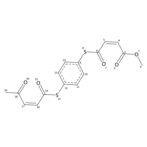 COC(=O)/C=C\C(=O)Sc1ccc(SC(=O)/C=C\C(C)=O)cc1